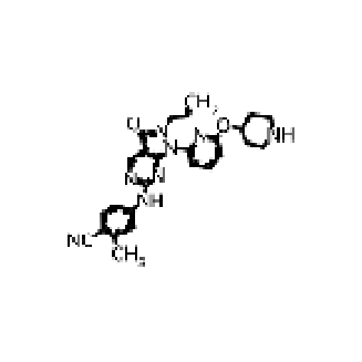 C=CCn1c(=O)c2cnc(Nc3ccc(C#N)c(C)c3)nc2n1-c1cccc(OC2CCNCC2)n1